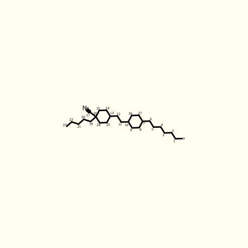 CCCCCCCC1CCC(CCC2CCC(C#N)(CCCCC)CC2)CC1